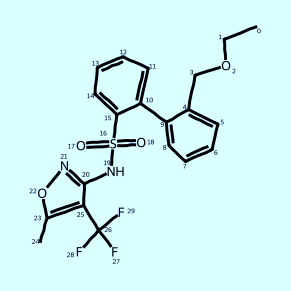 CCOCc1ccccc1-c1ccccc1S(=O)(=O)Nc1noc(C)c1C(F)(F)F